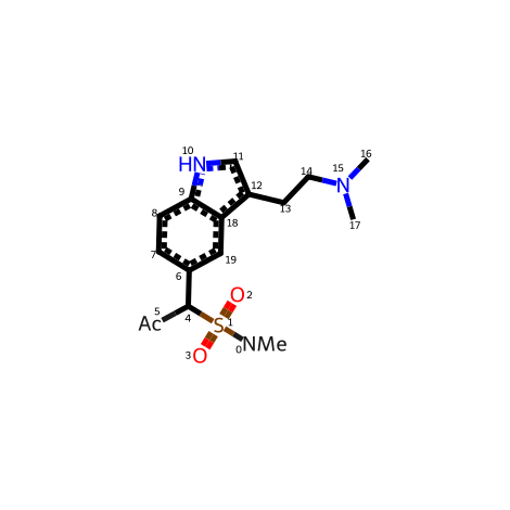 CNS(=O)(=O)C(C(C)=O)c1ccc2[nH]cc(CCN(C)C)c2c1